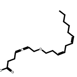 CCCCC/C=C\C/C=C\CCOCC=C=CCCC(=O)O